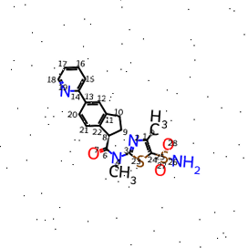 Cc1nc(N(C)C(=O)[C@@H]2CCc3cc(-c4ccccn4)ccc32)sc1S(N)(=O)=O